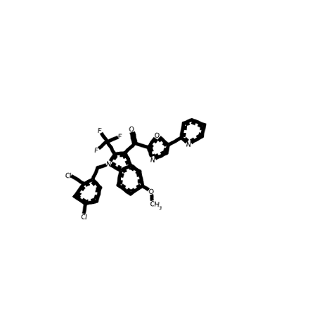 COc1ccc2c(c1)c(C(=O)c1ncc(-c3ccccn3)o1)c(C(F)(F)F)n2Cc1ccc(Cl)cc1Cl